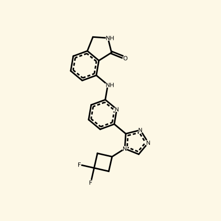 O=C1NCc2cccc(Nc3cccc(-c4nncn4C4CC(F)(F)C4)n3)c21